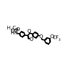 CS(=O)(=O)Nc1ccc(-c2coc3cc(OCc4cccc(OC(F)(F)F)c4)ccc3c2=O)cc1